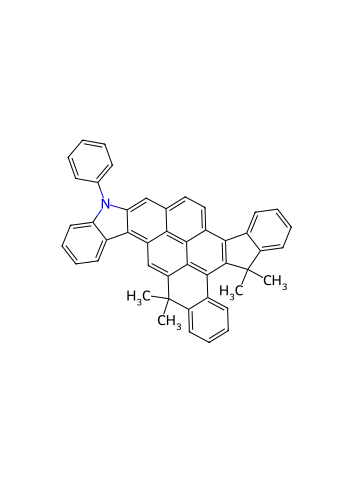 CC1(C)c2ccccc2-c2c1c1c3c(cc4c5c(ccc2c35)cc2c4c3ccccc3n2-c2ccccc2)C(C)(C)c2ccccc2-1